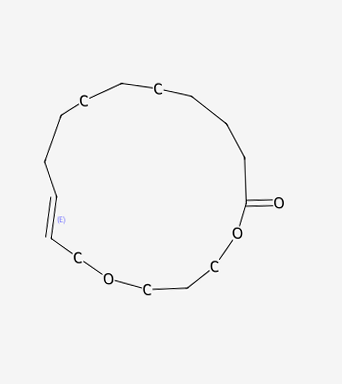 O=C1CCCCCCCC/C=C/COCCCO1